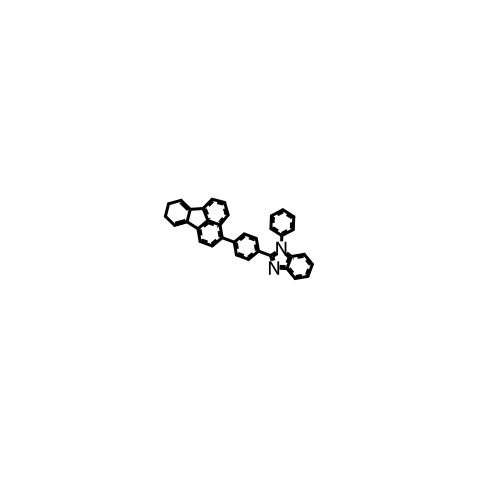 C1=C2C(=CCC1)c1ccc(-c3ccc(-c4nc5ccccc5n4-c4ccccc4)cc3)c3cccc2c13